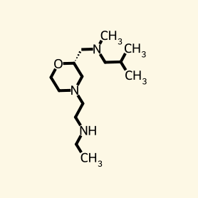 CCNCCN1CCO[C@H](CN(C)CC(C)C)C1